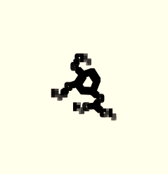 COc1ccc(OC(C)C)cc1OC